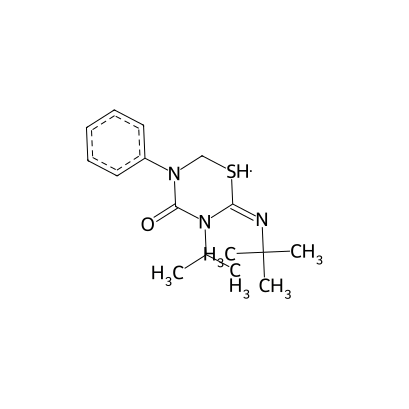 CC(C)N1C(=O)N(c2ccccc2)C[SH]C1=NC(C)(C)C